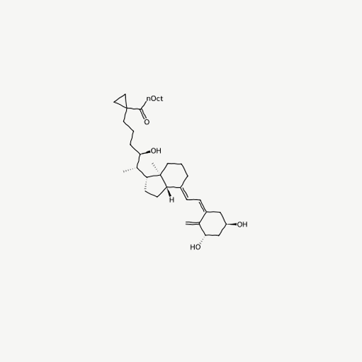 C=C1/C(=C\C=C2/CCC[C@]3(C)[C@@H]([C@H](C)[C@H](O)CCCC4(C(=O)CCCCCCCC)CC4)CC[C@@H]23)C[C@@H](O)C[C@@H]1O